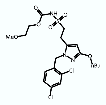 CCCCOc1cc(CCS(=O)(=O)NC(=O)OCCOC)n(Cc2ccc(Cl)cc2Cl)n1